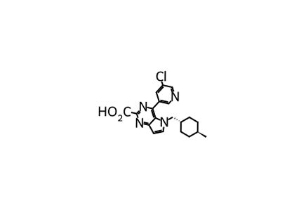 C[C@H]1CC[C@H](Cn2ccc3nc(C(=O)O)nc(-c4cncc(Cl)c4)c32)CC1